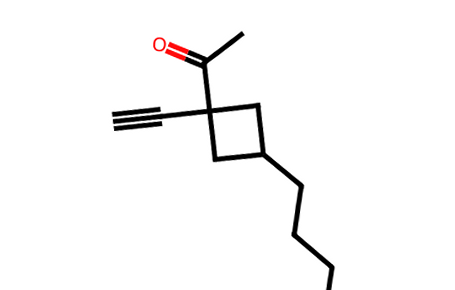 C#CC1(C(C)=O)CC(CCCC)C1